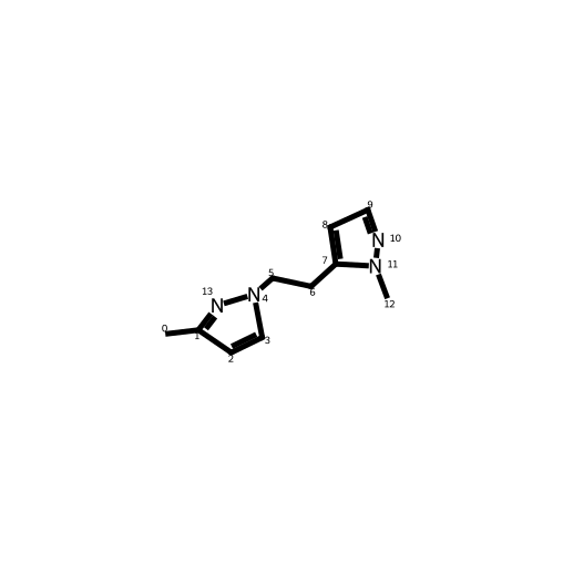 Cc1ccn(CCc2ccnn2C)n1